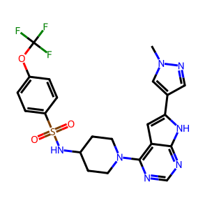 Cn1cc(-c2cc3c(N4CCC(NS(=O)(=O)c5ccc(OC(F)(F)F)cc5)CC4)ncnc3[nH]2)cn1